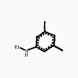 CCNc1cc(C)cc(C)c1